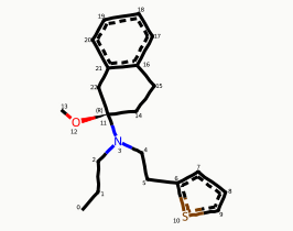 CCCN(CCc1cccs1)[C@@]1(OC)CCc2ccccc2C1